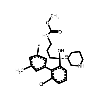 COC(=O)NCCCC(O)(c1cccc(Cl)c1-c1cc(C)cc(F)c1)[C@@H]1CCCNC1